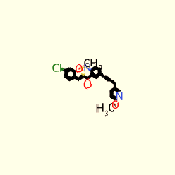 COc1ccc(CC#Cc2ccc3c(c2)C(=O)/C(=C/c2ccc(Cl)cc2)[S+]([O-])N3C)cn1